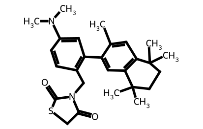 Cc1cc2c(cc1-c1cc(N(C)C)ccc1CN1C(=O)CSC1=O)C(C)(C)CCC2(C)C